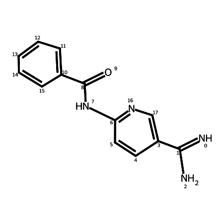 N=C(N)c1ccc(NC(=O)c2ccccc2)nc1